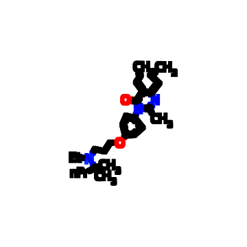 C=C/C=c1/nc(C)n(-c2ccc(OCCCN(CC)C(C)(C)CCC)cc2)c(=O)/c1=C/C=C